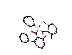 Cc1cccc(C)c1C(=O)P(=O)(C(=O)c1c(C)cccc1-c1ccccc1)c1ccccc1